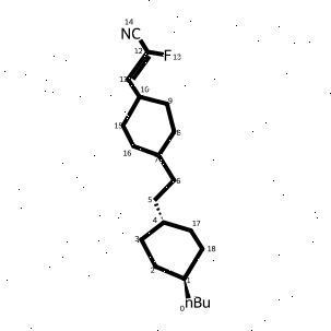 CCCC[C@H]1CC[C@H](CCC2CCC(C=C(F)C#N)CC2)CC1